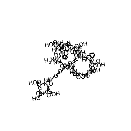 CCCC[C@H](NC(=O)COCCOCCNC(=O)CN1CCN(CC(=O)O)CCN(CC(=O)O)CCN(CC(=O)O)CC1)C(=O)N[C@H]1CSSC[C@@H](C(=O)N[C@@H](CC(=O)O)C(=O)N[C@@H](Cc2c[nH]cn2)C(=O)N[C@@H](Cc2ccccc2)C(=O)N[C@@H](CCCNC(=N)N)C(=O)N[C@@H](CC(=O)O)C(N)=O)NC(=O)[C@H](Cc2ccccc2)NC(=O)[C@H](CCC(=O)O)NC(=O)[C@H]([C@@H](C)O)NC(=O)[C@@H]2CCCN2C(=O)[C@@H]2CCCN2C1=O